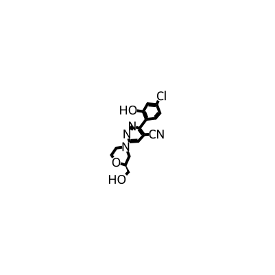 N#Cc1cc(N2CCO[C@H](CO)C2)nnc1-c1ccc(Cl)cc1O